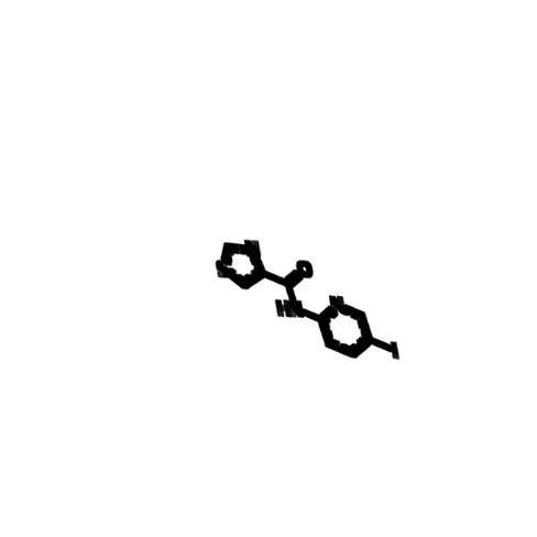 O=C(Nc1ccc(I)cn1)c1cscn1